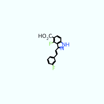 O=C(O)c1ccc2[nH]nc(C=Cc3cccc(F)c3)c2c1F